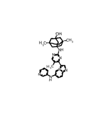 Cc1cnc(NC23CC4(O)C[C@@](C)(C2)C[C@](C)(C4)C3)nc1-c1cnc2ccc(Nc3cccnc3)cn12